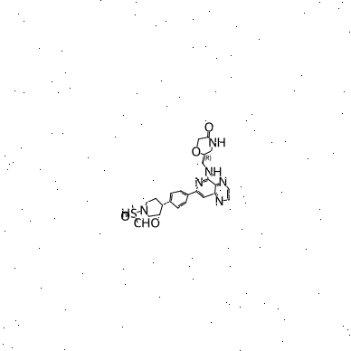 C[SH](=O)(C=O)N1CCC(c2ccc(-c3cc4nccnc4c(NC[C@@H]4CNC(=O)CO4)n3)cc2)CC1